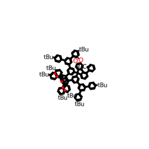 Cc1ccccc1-c1cccc2c1-c1cc3c(cc1C2(c1cc(-c2cc(-c4ccc(C(C)(C)C)cc4)cc(-c4ccc(C(C)(C)C)cc4)c2)cc(-c2cc(-c4ccc(C(C)(C)C)cc4)cc(-c4ccc(C(C)(C)C)cc4)c2)c1)c1cc(-c2cc(-c4ccc(C(C)(C)C)cc4)cc(-c4ccc(C(C)(C)C)cc4)c2)cc(-c2cc(-c4ccc(C(C)(C)C)cc4)cc(-c4ccc(C(C)(C)C)cc4)c2)c1)OCO3